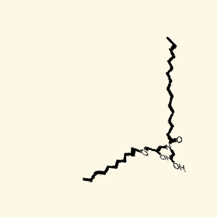 CCCCCCCCCCCCCCCC(=O)N(CCO)CC(O)COCCCCCCCCCCC